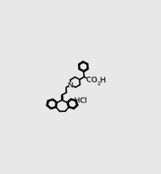 Cl.O=C(O)C(c1ccccc1)C1CCN(CCC=C2c3ccccc3CCc3ccccc32)CC1